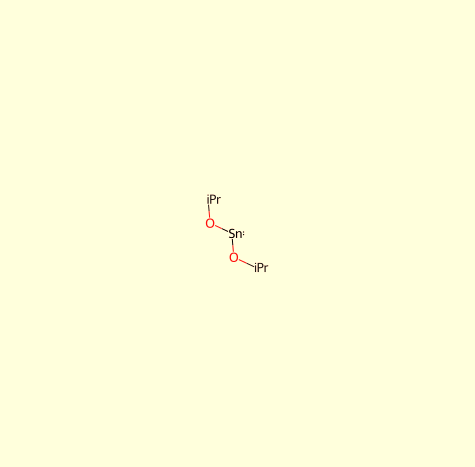 CC(C)[O][Sn][O]C(C)C